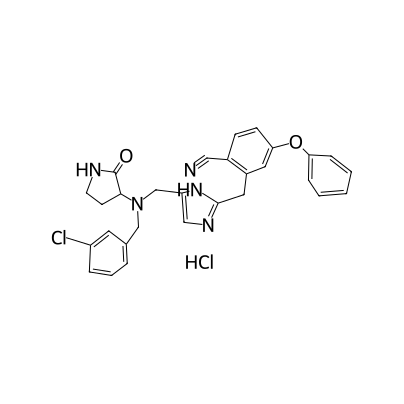 Cl.N#Cc1ccc(Oc2ccccc2)cc1Cc1ncc(CN(Cc2cccc(Cl)c2)C2CCNC2=O)[nH]1